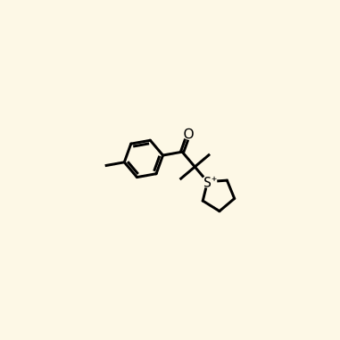 Cc1ccc(C(=O)C(C)(C)[S+]2CCCC2)cc1